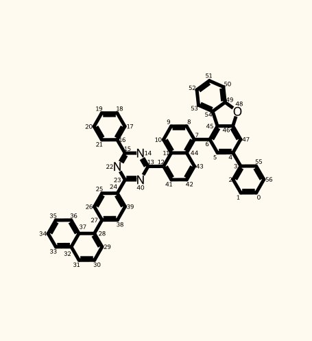 c1ccc(-c2cc(-c3cccc4c(-c5nc(-c6ccccc6)nc(-c6ccc(-c7cccc8ccccc78)cc6)n5)cccc34)c3c(c2)oc2ccccc23)cc1